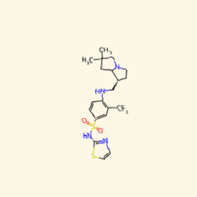 CC1(C)CC2[C@H](CNc3ccc(S(=O)(=O)Nc4nccs4)cc3C(F)(F)F)CCN2C1